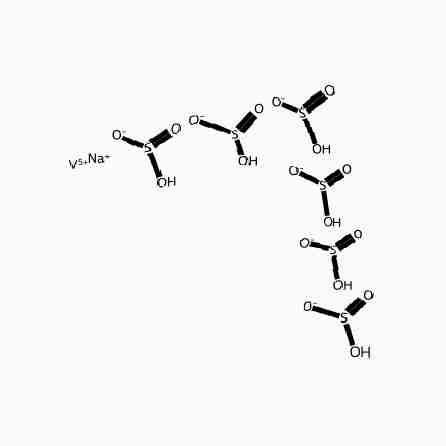 O=S([O-])O.O=S([O-])O.O=S([O-])O.O=S([O-])O.O=S([O-])O.O=S([O-])O.[Na+].[V+5]